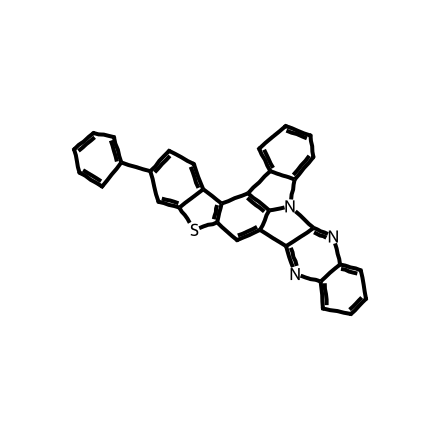 c1ccc(-c2ccc3c(c2)sc2cc4c5nc6ccccc6nc5n5c6ccccc6c(c23)c45)cc1